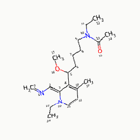 C=N/C=C1/C(C(CCCCN(CC)C(C)=O)OC)=C(C)C=CN1CC